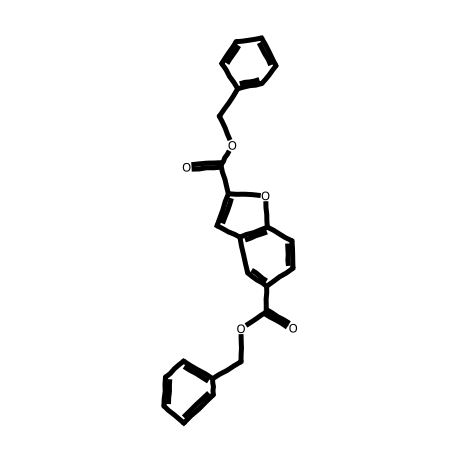 O=C(OCc1ccccc1)c1ccc2oc(C(=O)OCc3ccccc3)cc2c1